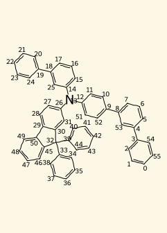 c1ccc(-c2cccc(-c3ccc(N(c4cccc(-c5ccccc5)c4)c4ccc5c(c4)C(c4ccccc4)(c4ccccc4)c4ccccc4-5)cc3)c2)cc1